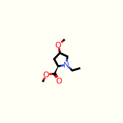 CCN1CC(OC)C[C@@H]1C(=O)OC